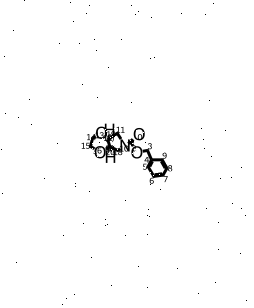 O=C(OCc1ccccc1)N1C[C@@H]2OCCO[C@@H]2C1